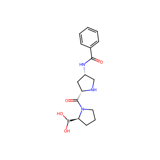 O=C(N[C@@H]1CN[C@H](C(=O)N2CCC[C@H]2B(O)O)C1)c1ccccc1